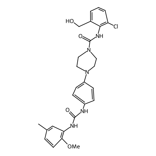 COc1ccc(C)cc1NC(=O)Nc1ccc(N2CCN(C(=O)Nc3c(Cl)cccc3CO)CC2)cc1